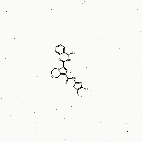 CC[C@@H](NC(=O)c1cc(C(=O)Nc2nc(C)c(C)s2)c2n1CCOC2)c1ccccc1